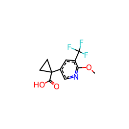 COc1ncc(C2(C(=O)O)CC2)cc1C(F)(F)F